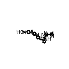 Cc1cncc(-c2cnc(N)c(C(=O)N[C@H]3CCCC3OCc3ccc(-c4ccc(C(C)N5CCN(CCO)CC5)cc4)cc3)c2)c1